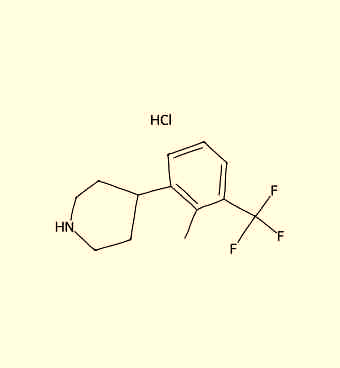 Cc1c(C2CCNCC2)cccc1C(F)(F)F.Cl